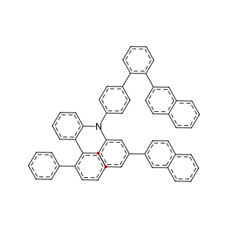 c1ccc(-c2ccccc2-c2ccccc2N(c2ccc(-c3ccccc3-c3ccc4ccccc4c3)cc2)c2cccc(-c3ccc4ccccc4c3)c2)cc1